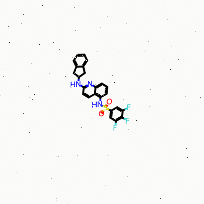 O=S(=O)(Nc1cccc2nc(NC3Cc4ccccc4C3)ccc12)c1cc(F)c(F)c(F)c1